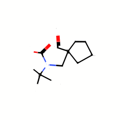 CC(C)(C)N(CC1(C=O)CCCC1)C(=O)O